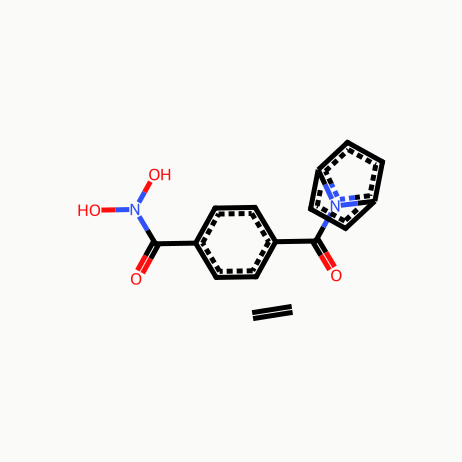 C=C.O=C(c1ccc(C(=O)n2c3ccc2cc3)cc1)N(O)O